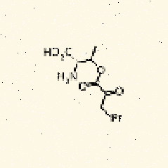 CC(C)CC(=O)C(=O)O[C@H](C)[C@H](N)C(=O)O